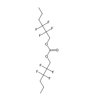 CCCC(F)(F)C(F)(F)COC(=O)OCC(F)(F)C(F)(F)CCC